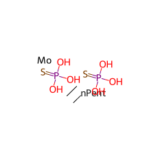 CC.CCCCCC.OP(O)(O)=S.OP(O)(O)=S.[Mo]